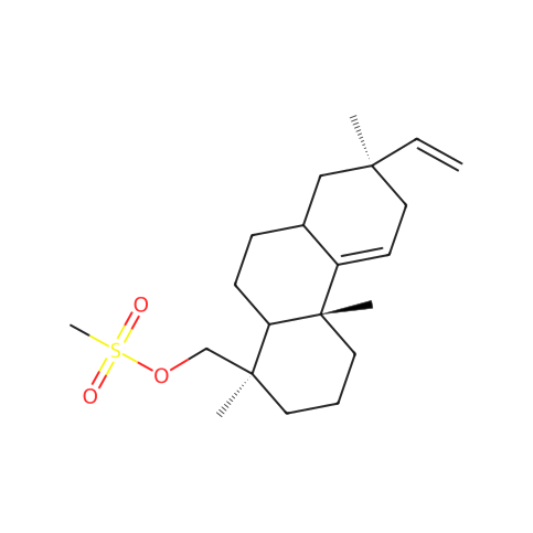 C=C[C@@]1(C)CC=C2C(CCC3[C@](C)(COS(C)(=O)=O)CCC[C@@]23C)C1